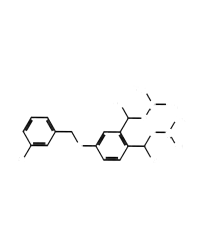 CC(=O)c1cccc(COc2ccc(C(O[SiH](C)C)C(C)(C)C)c(C(O[SiH](C)C)C(C)(C)C)c2)c1